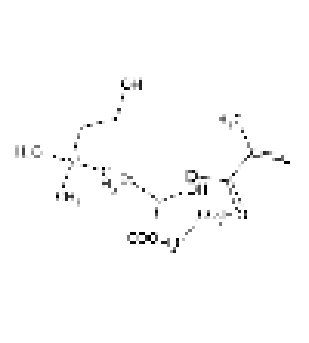 CC(=O)C(=O)O.CC(=O)O.CCC(O)C(=O)[O-].C[N+](C)(C)CCO